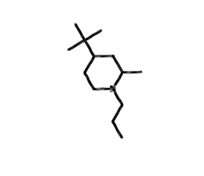 CCCN1CCC(C(C)(C)C)CC1C